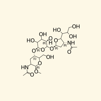 CO[C@@H]1OC(CO)[C@@H](O[C@@H]2OC(O[C@@H]3C[C@@H](NC(C)=O)C(C(O)C(O)CO)O3)[C@H](O)C(O)C2O)CC1NC(C)=O